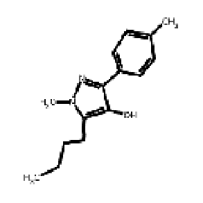 CCCCc1c(O)c(-c2ccc(C)cc2)nn1C